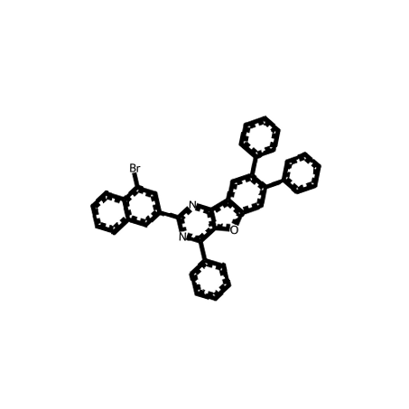 Brc1cc(-c2nc(-c3ccccc3)c3oc4cc(-c5ccccc5)c(-c5ccccc5)cc4c3n2)cc2ccccc12